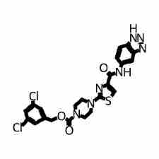 O=C(Nc1ccc2[nH]nnc2c1)c1csc(N2CCN(C(=O)OCc3cc(Cl)cc(Cl)c3)CC2)n1